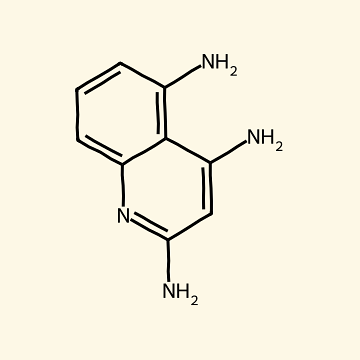 Nc1cc(N)c2c(N)cccc2n1